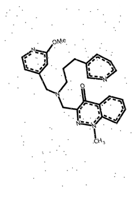 COc1cc(CN(CCCc2cccnc2)Cc2nn(C)c3ccccc3c2=O)ccn1